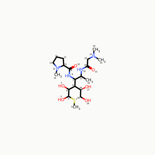 CSC(O)C(O)C(C(NC(=O)C1CCCN1C)C(C)NC(=O)CN(C)C)[C@@H](O)CO